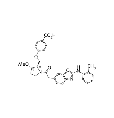 CO[C@H]1CCN(C(=O)Cc2ccc3nc(Nc4ccccc4C)oc3c2)[C@@H]1COc1ccc(C(=O)O)cc1